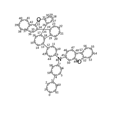 c1ccc(-c2ccc(N(c3ccc(-c4cccc5c4-c4ccccc4C54c5ccccc5Oc5c4ccc4ccccc54)cc3)c3ccc4c(c3)oc3ccccc34)cc2)cc1